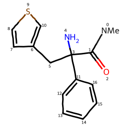 CNC(=O)C(N)(Cc1ccsc1)c1ccccc1